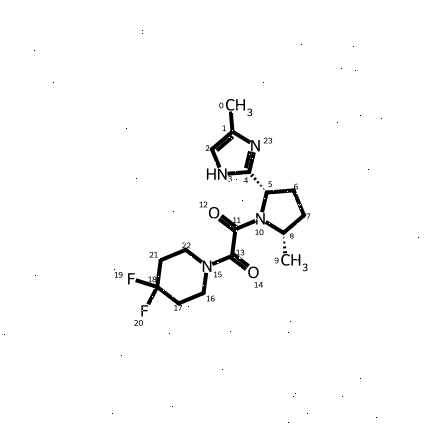 Cc1c[nH]c([C@@H]2CC[C@H](C)N2C(=O)C(=O)N2CCC(F)(F)CC2)n1